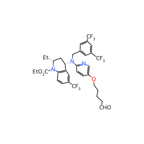 CCOC(=O)N1c2ccc(C(F)(F)F)cc2[C@@H](N(Cc2cc(C(F)(F)F)cc(C(F)(F)F)c2)c2ccc(OCCCCC=O)cn2)C[C@H]1CC